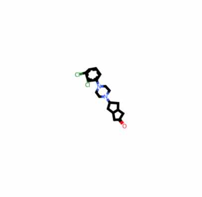 O=C1CC2CC(N3CCN(c4cccc(Cl)c4Cl)CC3)CC2C1